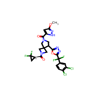 COc1cc(C(=O)N2CC(c3nnc(C(F)(F)c4ccc(Cl)c(Cl)c4)o3)C3(C2)CN(C(=O)[C@H]2CC2(F)F)C3)[nH]n1